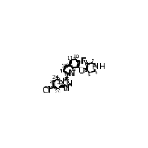 F[C@H]1CNCC[C@@H]1Oc1cccc2ccc(-c3nnc4cc(Cl)ccn34)nc12